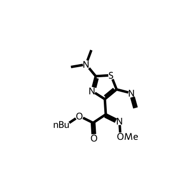 C=Nc1sc(N(C)C)nc1C(=NOC)C(=O)OCCCC